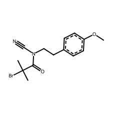 COc1ccc(CCN(C#N)C(=O)C(C)(C)Br)cc1